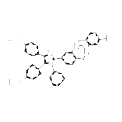 Cc1ccc(-c2nc(-c3ccc4c(c3)N3Cc5ccc(Br)cc5N(C4)C3)n(-c3ccccc3)c2-c2ccc(C)cc2)cc1